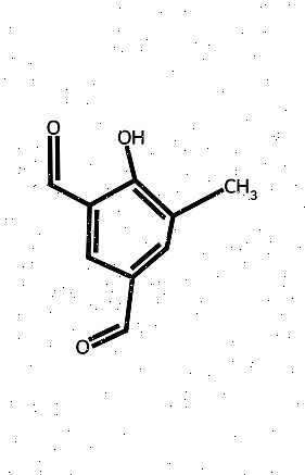 Cc1cc(C=O)cc(C=O)c1O